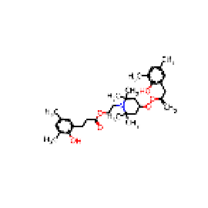 C=C(Cc1cc(C)cc(C)c1O)OOC1CC(C)(C)N(CCOC(=O)CCc2cc(C)cc(C)c2O)C(C)(C)C1